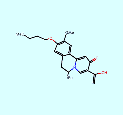 C=C(O)c1cn2c(cc1=O)-c1cc(OC)c(OCCCOC)cc1CC2C(C)(C)C